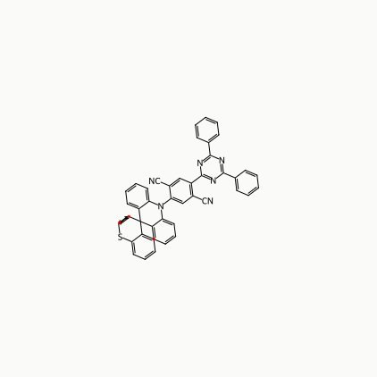 N#Cc1cc(N2c3ccccc3C3(c4ccccc4Sc4ccccc43)c3ccccc32)c(C#N)cc1-c1nc(-c2ccccc2)nc(-c2ccccc2)n1